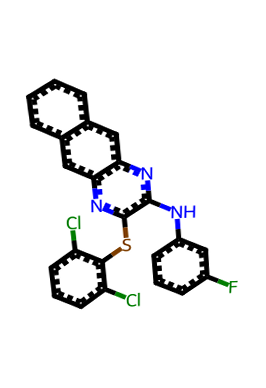 Fc1cccc(Nc2nc3cc4ccccc4cc3nc2Sc2c(Cl)cccc2Cl)c1